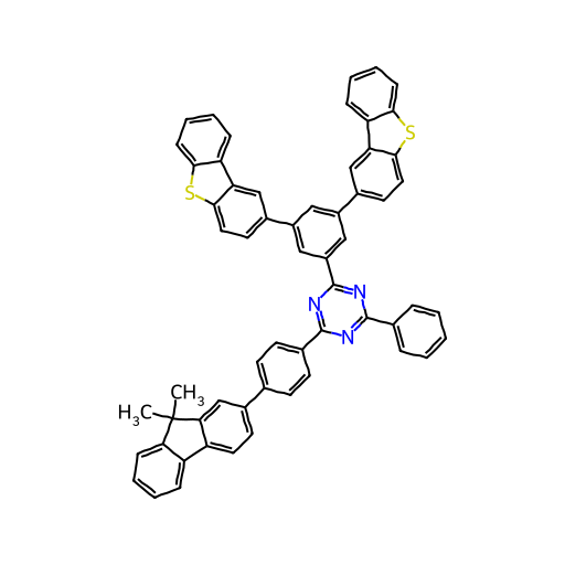 CC1(C)c2ccccc2-c2ccc(-c3ccc(-c4nc(-c5ccccc5)nc(-c5cc(-c6ccc7sc8ccccc8c7c6)cc(-c6ccc7sc8ccccc8c7c6)c5)n4)cc3)cc21